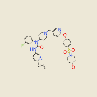 Cc1ccc(NC(=O)N(c2cccc(F)c2)C2CCN(Cc3ccc(Oc4ccc(S(=O)(=O)N5CCC(=O)CC5)cc4)nc3)CC2)cn1